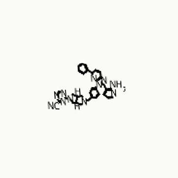 N#Cc1ncnc(N2C[C@H]3CN(Cc4ccc(-n5c(-c6cccnc6N)nc6ccc(-c7ccccc7)nc65)cc4)C[C@H]3C2)n1